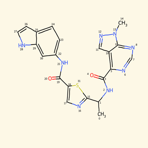 CC(NC(=O)c1ncnc2c1cnn2C)c1ncc(C(=O)Nc2ccc3cc[nH]c3c2)s1